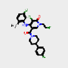 Cc1ccc(Cl)cc1Nc1c(C(=O)N2CCC(c3ccc(F)cc3)CC2)cn(CCF)c(=O)c1Cl